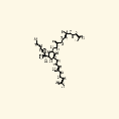 C=C(CC/C=C(\C)CCC=C(C)C)CC[C@H]1C=C(CC/C=C(\C)CCC=C(C)C)C[C@@](C)(C(=O)OCCCC)C1